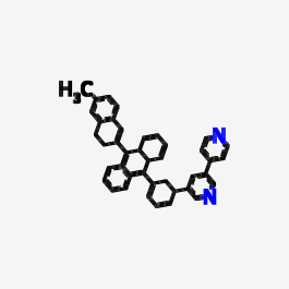 Cc1ccc2c(c1)CCC(C1=c3ccccc3=C(C3=CC=CC(c4cncc(-c5ccncc5)c4)C3)C3C=CC=CC13)=C2